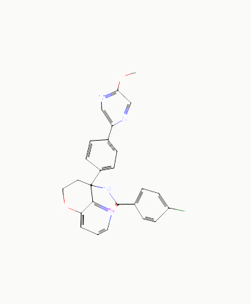 CCOc1cnc(-c2ccc(C3(NC(=O)c4ccc(F)cc4)CCOc4cccnc43)cc2)cn1